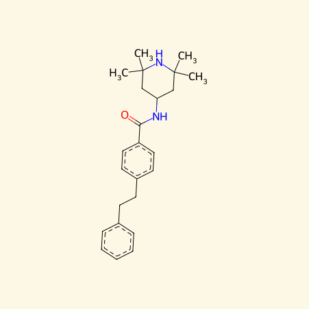 CC1(C)CC(NC(=O)c2ccc(CCc3ccccc3)cc2)CC(C)(C)N1